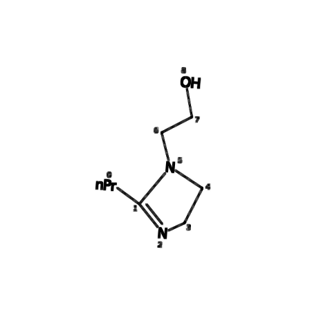 CCCC1=NCCN1CCO